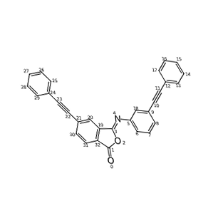 O=C1O/C(=N\c2cccc(C#Cc3ccccc3)c2)c2cc(C#Cc3ccccc3)ccc21